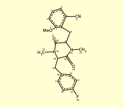 COc1cccc(C#N)c1CC1C(=O)N(C)C(Cc2ccc(F)cc2)C(=O)N1C